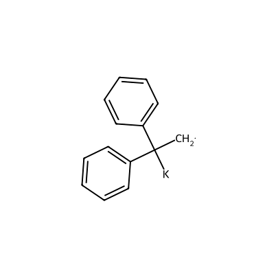 [CH2][C]([K])(c1ccccc1)c1ccccc1